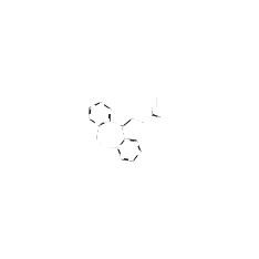 O=C(Cl)CC=C1c2ccccc2CCc2ccccc21